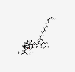 CCCCCCCC/C=C/CCCCCCCC(=O)O[C@H](C(=O)OC1=CC[C@@]2(O)[C@H]3Cc4ccc(O)c5c4[C@@]2(CCCN3C)[C@H]1O5)c1ccccc1